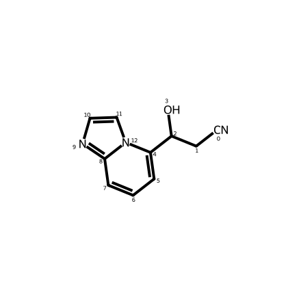 N#CCC(O)c1cccc2nccn12